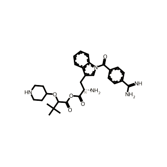 CC(C)(C)C(OC1CCNCC1)C(=O)OC(=O)[C@@H](N)Cc1cn(C(=O)c2ccc(C(=N)N)cc2)c2ccccc12